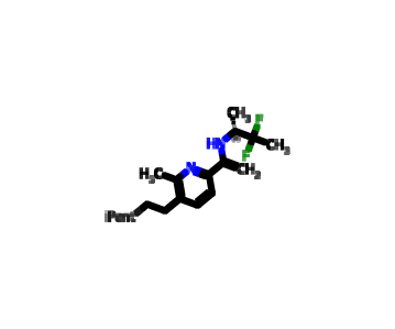 C=C(N[C@H](C)C(C)(F)F)c1ccc(CCC(C)CCC)c(C)n1